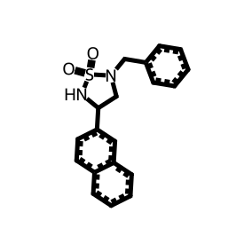 O=S1(=O)NC(c2ccc3ccccc3c2)CN1Cc1ccccc1